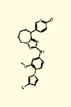 COc1cc(Nc2nc3n(n2)CCCCC3c2ccc(Cl)nc2)ccc1-n1cnc(Cl)c1